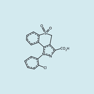 O=C(O)c1nn(-c2ccccc2Cl)c2c1CS(=O)(=O)c1ccccc1-2